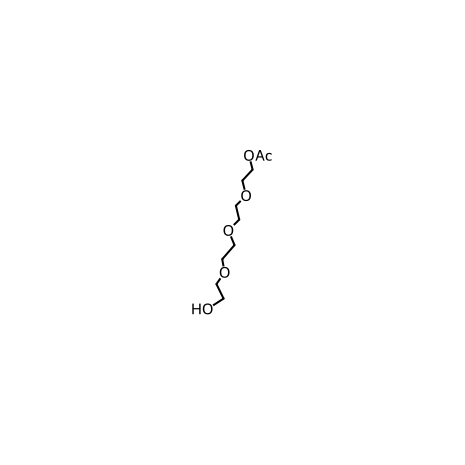 CC(=O)OCCOCCOCCOCCO